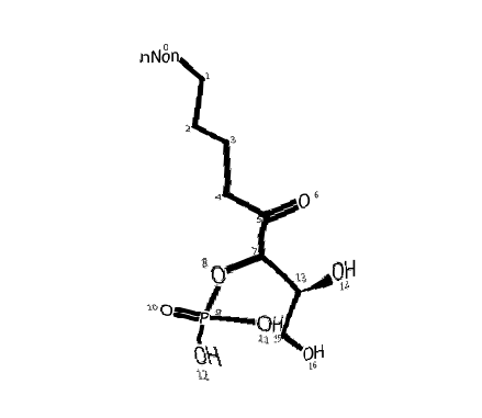 CCCCCCCCCCCCCC(=O)C(OP(=O)(O)O)[C@@H](O)CO